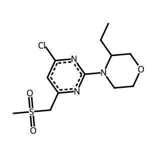 CCC1COCCN1c1nc(Cl)cc(CS(C)(=O)=O)n1